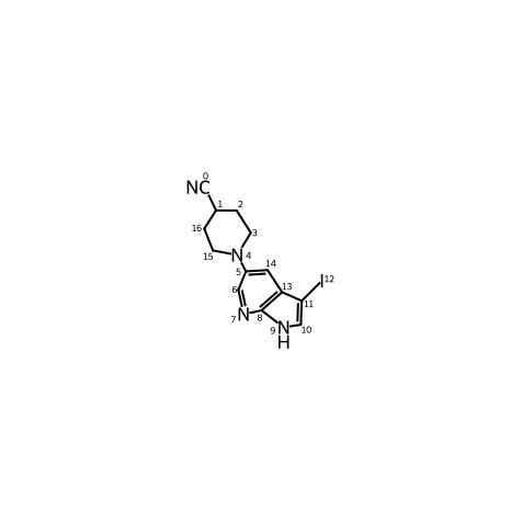 N#CC1CCN(c2cnc3[nH]cc(I)c3c2)CC1